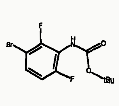 CC(C)(C)OC(=O)Nc1c(F)ccc(Br)c1F